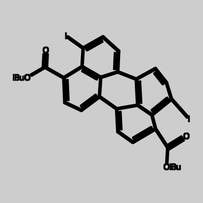 CC(C)COC(=O)c1ccc2c3ccc(C(=O)OCC(C)C)c4c(I)ccc(c5ccc(I)c1c52)c43